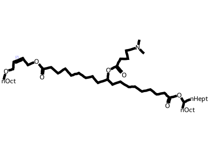 CCCCCCCCOC/C=C\COC(=O)CCCCCCCCC(CCCCCCCCC(=O)OC(CCCCCCC)CCCCCCCC)OC(=O)CCCN(C)C